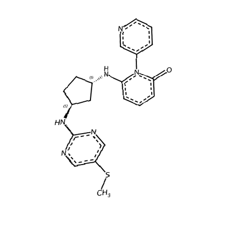 CSc1cnc(N[C@H]2CC[C@H](Nc3cccc(=O)n3-c3cccnc3)C2)nc1